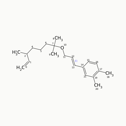 C=CC(C)CCCC(C)(C)OC/C=C/c1ccc(C)c(C)c1